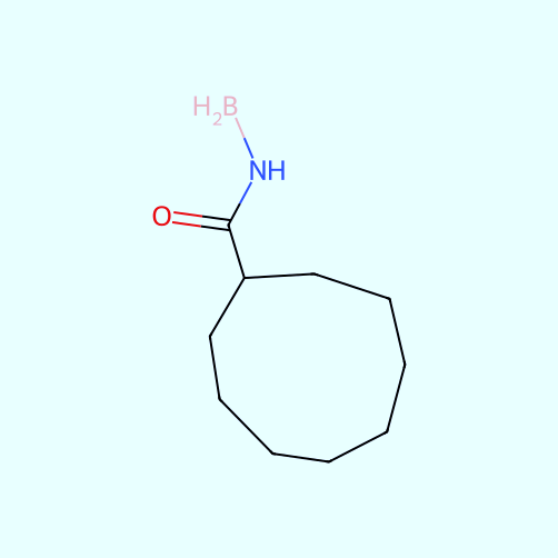 BNC(=O)C1CCCCCCCC1